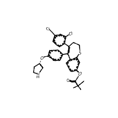 CC(C)(C)C(=O)Oc1ccc2c(c1)SCCC(c1ccc(Cl)cc1Cl)=C2c1ccc(O[C@H]2CCNC2)cc1